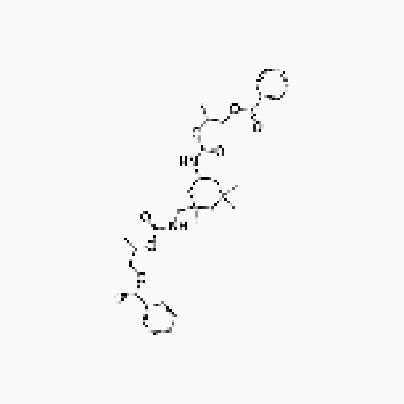 CC(COC(=O)c1ccccc1)OC(=O)NCC1(C)CC(NC(=O)OC(C)COC(=O)c2ccccc2)CC(C)(C)C1